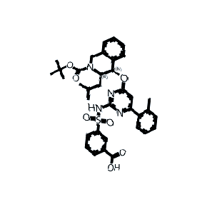 Cc1ccccc1-c1cc(O[C@@H]2c3ccccc3CN(C(=O)OC(C)(C)C)[C@@H]2CC(C)C)nc(NS(=O)(=O)c2cccc(C(=O)O)c2)n1